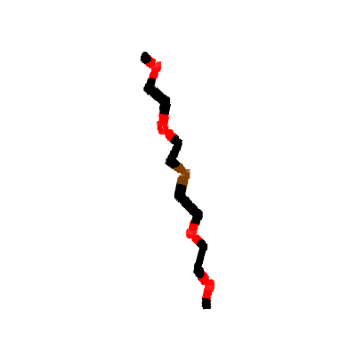 COCCOCCSCCOCCOC